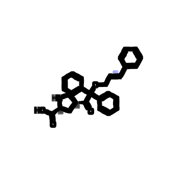 O=C(O)[C@@H]1C[C@@H](C(=O)C(OC/C=C/c2ccccc2)(c2ccccc2)c2ccccc2)CN1